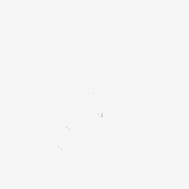 Cc1c(NC(=O)OCc2ccccc2)nn2c1CCC2